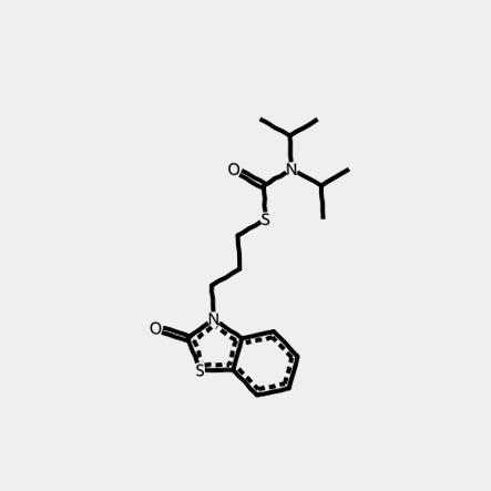 CC(C)N(C(=O)SCCCn1c(=O)sc2ccccc21)C(C)C